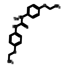 CCOc1ccc(NC(=S)Nc2ccc(OCC)cc2)cc1.[Tm]